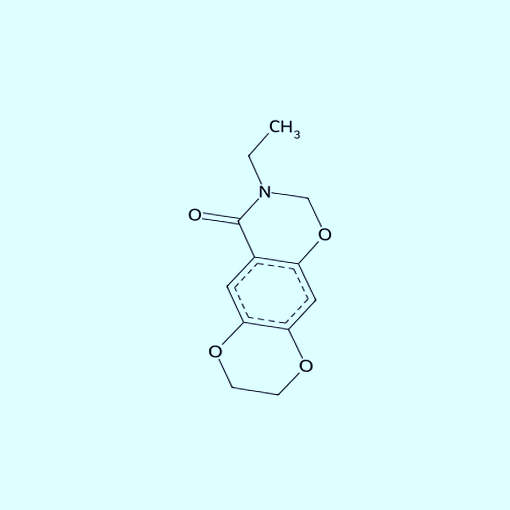 CCN1COc2cc3c(cc2C1=O)OCCO3